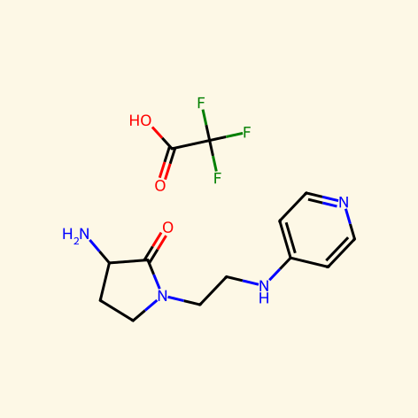 NC1CCN(CCNc2ccncc2)C1=O.O=C(O)C(F)(F)F